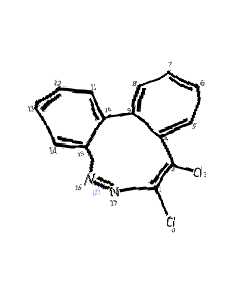 ClC1=C(Cl)c2ccccc2-c2ccccc2/N=N\1